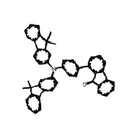 CC1(C)c2ccccc2-c2ccc(N(c3ccc(-c4cccc5c4C(=O)c4ccccc4-5)cc3)c3ccc4c(c3)C(C)(C)c3ccccc3-4)cc21